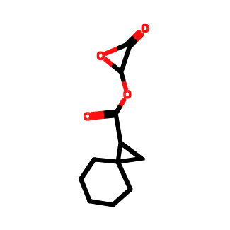 O=C1OC1OC(=O)C1CC12CCCCC2